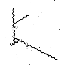 CCCCCC=CCC=CCCCCCCCC(=O)OCCCOc1cc(C=O)cc(OCCCOC(=O)CC(CCCCCCCC)CCCCCCCCC)c1